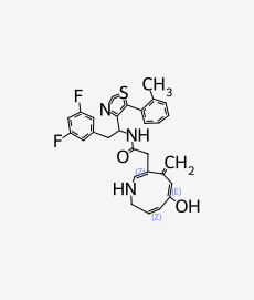 C=C1/C=C(O)\C=C/CN/C=C\1CC(=O)NC(Cc1cc(F)cc(F)c1)c1ncsc1-c1ccccc1C